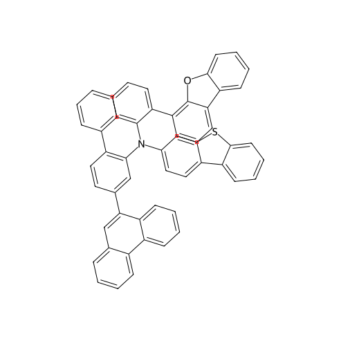 c1ccc(-c2ccc(-c3cc4ccccc4c4ccccc34)cc2N(c2ccc3c(c2)sc2ccccc23)c2ccccc2-c2cccc3c2oc2ccccc23)cc1